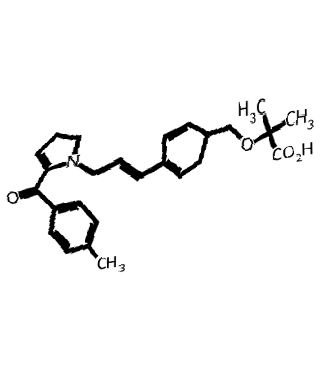 Cc1ccc(C(=O)C2=CCCN2C/C=C/C2=CCC(COC(C)(C)C(=O)O)C=C2)cc1